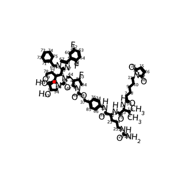 CC(C)C(NC(=O)CCCCCN1C(=O)C=CC1=O)C(=O)NC(CCCNC(N)=O)C(=O)Nc1ccc(COC(=O)N2C[C@@H](CN(C(=O)N3C[C@@H](O)[C@@H](O)C3)[C@@H](c3nc(-c4cc(F)ccc4F)cn3Cc3ccccc3)C3CCOCC3)[C@@H](F)C2)cc1